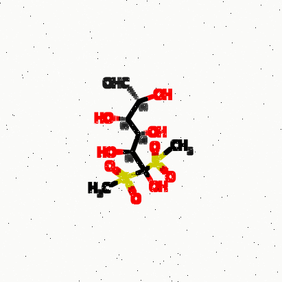 CS(=O)(=O)C(O)([C@@H](O)[C@@H](O)[C@H](O)[C@@H](O)C=O)S(C)(=O)=O